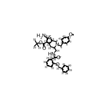 COc1ccc(CN2Cc3sc(N)c(C(=O)OC(C)(C)C)c3CC2CNC(=O)c2ccccc2OCc2ccccc2)cc1